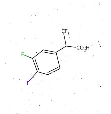 O=C(O)C(c1ccc(I)c(F)c1)C(F)(F)F